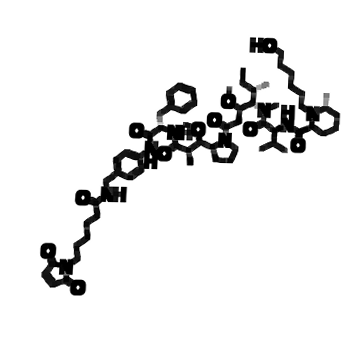 CC[C@H](C)[C@@H]([C@@H](CC(=O)N1CCC[C@H]1[C@H](OC)[C@@H](C)C(=O)N[C@@H](Cc1ccccc1)C(=O)Nc1ccc(CNC(=O)CCCCCN2C(=O)C=CC2=O)cc1)OC)N(C)C(=O)[C@@H](NC(=O)[C@@H]1CCC[C@@H](C)N1CCCCCCO)C(C)C